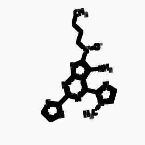 CCCC[S+]([O-])c1sc2nc(-c3nccs3)nc(-c3nccn3C)c2c1N